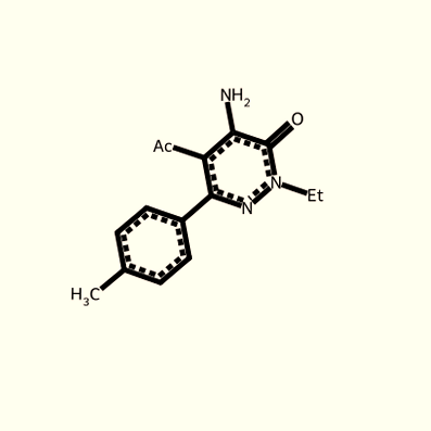 CCn1nc(-c2ccc(C)cc2)c(C(C)=O)c(N)c1=O